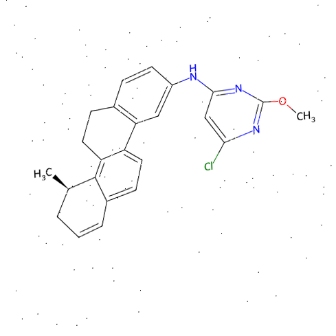 COc1nc(Cl)cc(Nc2ccc3c(c2)-c2ccc4c(c2CC3)[C@H](C)CC=C4)n1